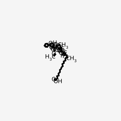 CCOCO[C@@H]1[C@H](OS(=O)(=O)C(F)(F)C(F)(F)OC(F)(F)C(F)(F)CC(C)CCCCCCCCCCCCCCC(=O)O)[C@H](OC)O[C@@H]2COC(c3ccccc3)O[C@@H]12